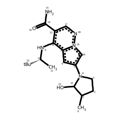 CC1CCN(c2cc3c(N[C@H](C)C(C)(C)C)c(C(N)=O)cnn3c2)C1O